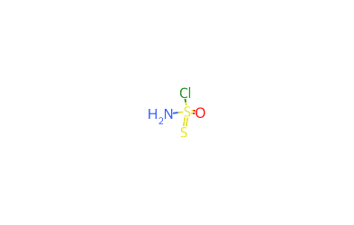 NS(=O)(=S)Cl